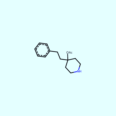 CC(=O)OC1(CCc2ccccc2)CCNCC1